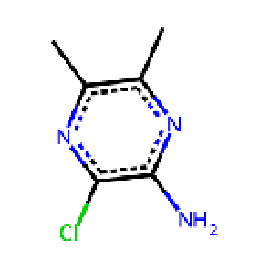 Cc1nc(N)c(Cl)nc1C